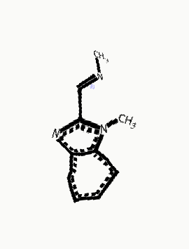 C/N=C/c1nc2ccccc2n1C